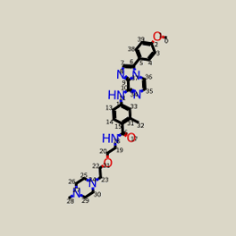 COc1ccc(-c2cnc3c(Nc4ccc(C(=O)NCCOCCN5CCN(C)CC5)c(C)c4)nccn23)cc1